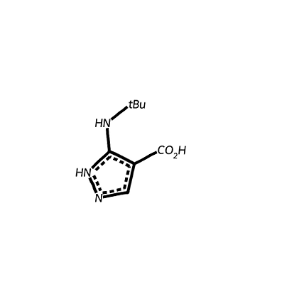 CC(C)(C)Nc1[nH]ncc1C(=O)O